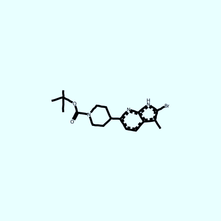 Cc1c(Br)[nH]c2nc(C3CCN(C(=O)OC(C)(C)C)CC3)ccc12